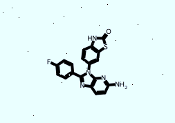 Nc1ccc2nc(-c3ccc(F)cc3)n(-c3ccc4[nH]c(=O)sc4c3)c2n1